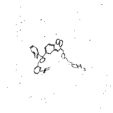 CCCCOCC1C=C2CC(C(OCc3cccc(F)c3)c3ccccn3)=CC=C2OO1